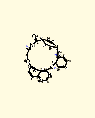 O=C1/N=C\COc2ccc3ncnc(c3c2)/N=c2/cccc/c2=C/N2C=CC1CC2